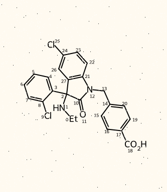 CCNC1(c2ccccc2Cl)C(=O)N(Cc2ccc(C(=O)O)cc2)c2ccc(Cl)cc21